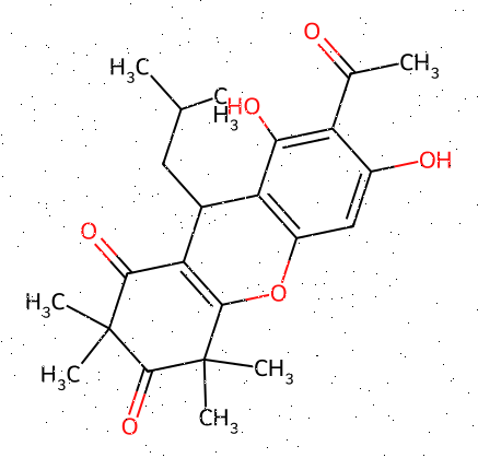 CC(=O)c1c(O)cc2c(c1O)C(CC(C)C)C1=C(O2)C(C)(C)C(=O)C(C)(C)C1=O